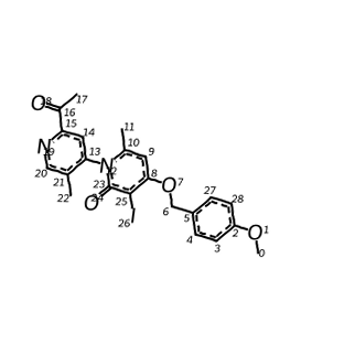 COc1ccc(COc2cc(C)n(-c3cc(C(C)=O)ncc3C)c(=O)c2I)cc1